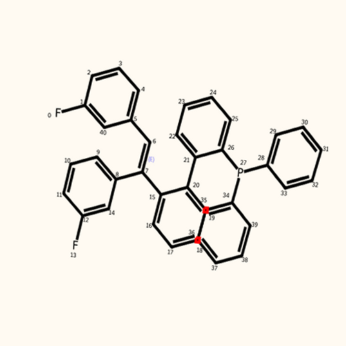 Fc1cccc(/C=C(\c2cccc(F)c2)c2ccccc2-c2ccccc2P(c2ccccc2)c2ccccc2)c1